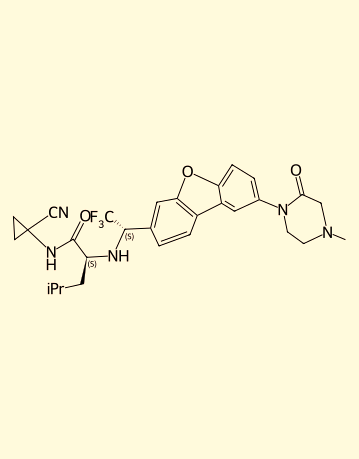 CC(C)C[C@H](N[C@@H](c1ccc2c(c1)oc1ccc(N3CCN(C)CC3=O)cc12)C(F)(F)F)C(=O)NC1(C#N)CC1